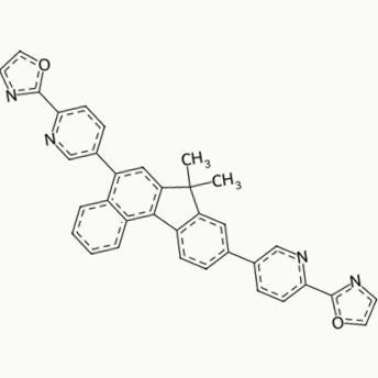 CC1(C)c2cc(-c3ccc(-c4ncco4)nc3)ccc2-c2c1cc(-c1ccc(-c3ncco3)nc1)c1ccccc21